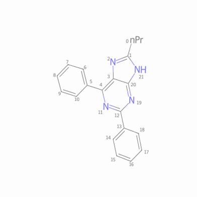 CCCc1nc2c(-c3ccccc3)nc(-c3ccccc3)nc2[nH]1